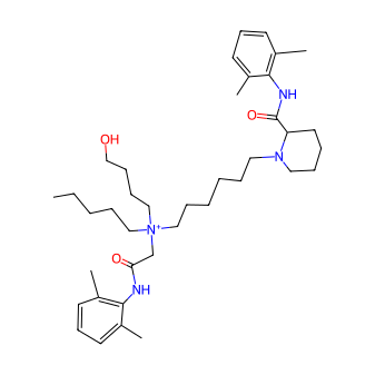 CCCCC[N+](CCCCO)(CCCCCCN1CCCCC1C(=O)Nc1c(C)cccc1C)CC(=O)Nc1c(C)cccc1C